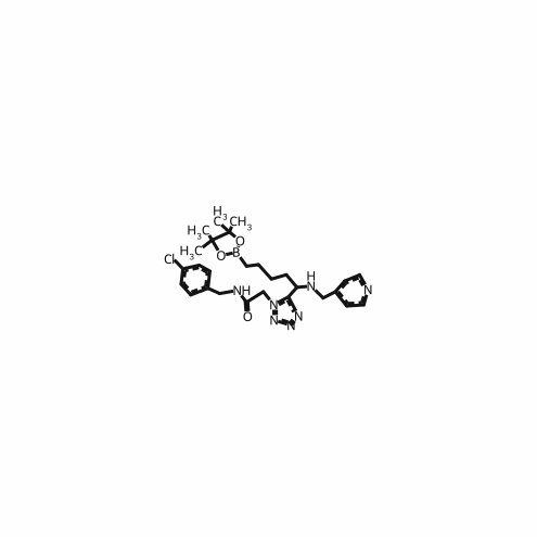 CC1(C)OB(CCCCC(NCc2ccncc2)c2nnnn2CC(=O)NCc2ccc(Cl)cc2)OC1(C)C